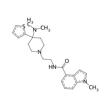 CN(C)C1(c2cccs2)CCN(CCNC(=O)c2cccc3c2ccn3C)CC1